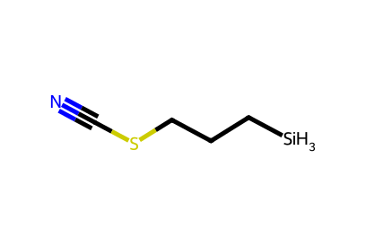 N#CSCCC[SiH3]